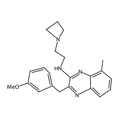 COc1cccc(Cc2nc3cccc(C)c3nc2NCCN2CCC2)c1